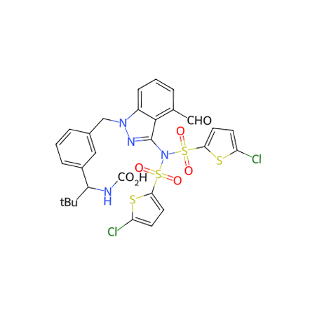 CC(C)(C)C(NC(=O)O)c1cccc(Cn2nc(N(S(=O)(=O)c3ccc(Cl)s3)S(=O)(=O)c3ccc(Cl)s3)c3c(C=O)cccc32)c1